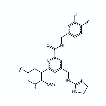 COC1NCC(C)CC1c1cc(CNC2=NCCN2)cc(C(=O)NCc2ccc(Cl)c(Cl)c2)n1